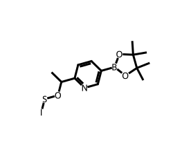 CC(OSI)c1ccc(B2OC(C)(C)C(C)(C)O2)cn1